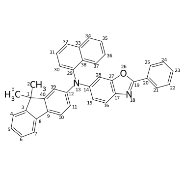 CC1(C)c2ccccc2-c2ccc(N(c3ccc4nc(-c5ccccc5)oc4c3)c3cccc4ccccc34)cc21